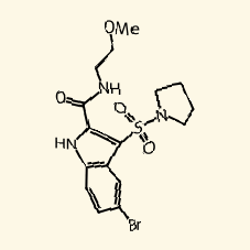 COCCNC(=O)c1[nH]c2ccc(Br)cc2c1S(=O)(=O)N1CCCC1